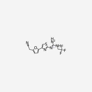 N#CCc1ccc(-c2csc(/N=C(\N)NCC(F)(F)F)n2)o1